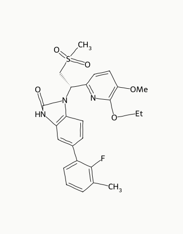 CCOc1nc([C@@H](CS(C)(=O)=O)n2c(=O)[nH]c3cc(-c4cccc(C)c4F)ccc32)ccc1OC